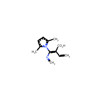 C=C/C(C(=O)O)=C(\N=C)n1c(C)ccc1C